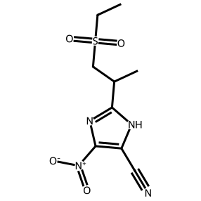 CCS(=O)(=O)CC(C)c1nc([N+](=O)[O-])c(C#N)[nH]1